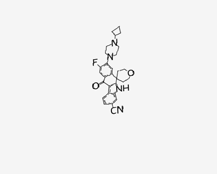 N#Cc1ccc2c3c([nH]c2c1)C1(CCOCC1)c1cc(N2CCN(C4CCC4)CC2)c(F)cc1C3=O